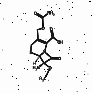 CO[C@@]1(N)C(=O)N2C(C(=O)O)=C(COC(N)=O)CS[C@@H]21